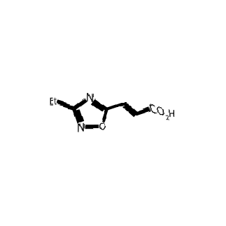 CCc1noc(C=CC(=O)O)n1